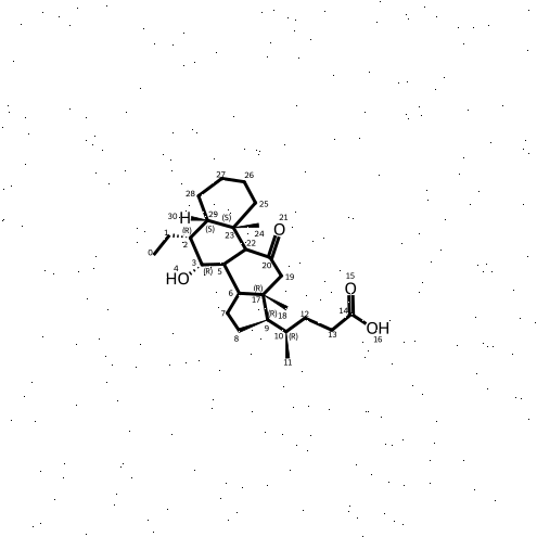 CC[C@H]1[C@@H](O)C2C3CC[C@H]([C@H](C)CCC(=O)O)[C@@]3(C)CC(=O)C2[C@@]2(C)CCCC[C@@H]12